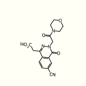 N#Cc1ccc2c(CC(=O)O)nn(CC(=O)N3CCOCC3)c(=O)c2c1